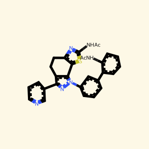 CC(=O)Nc1nc2c(s1)-c1c(c(-c3cccnc3)nn1-c1cccc(-c3ccccc3NC(C)=O)c1)CC2